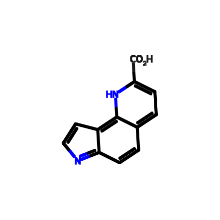 O=C(O)c1ccc2ccc3nccc3c2[nH]1